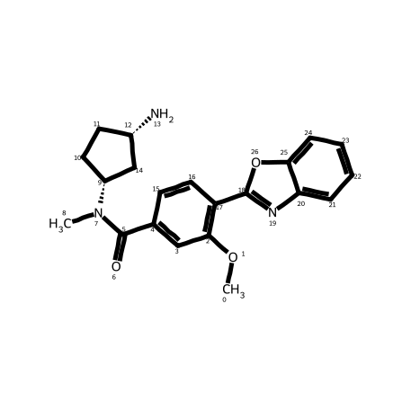 COc1cc(C(=O)N(C)[C@@H]2CC[C@H](N)C2)ccc1-c1nc2ccccc2o1